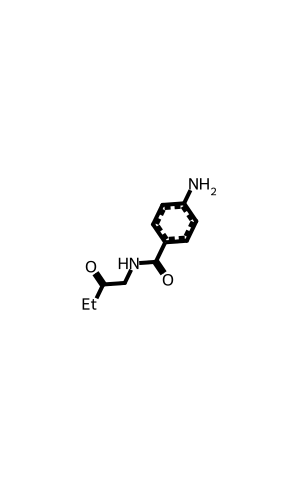 CCC(=O)CNC(=O)c1ccc(N)cc1